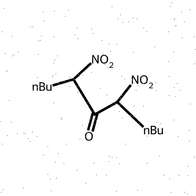 CCCCC(C(=O)C(CCCC)[N+](=O)[O-])[N+](=O)[O-]